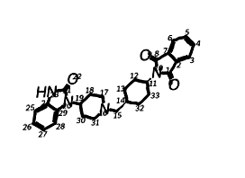 O=C1c2ccccc2C(=O)N1[C@H]1CC[C@H](CN2CCC(n3c(=O)[nH]c4ccccc43)CC2)CC1